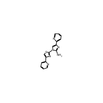 Nc1nc(-c2ccccn2)cn1-c1nc(-c2ccccn2)cs1